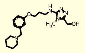 Cn1c(CO)nnc1NCCCOc1cccc(CN2CCCCC2)c1